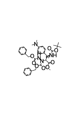 COC(=O)C([C@H](NC(=O)OC(C)(C)C)c1ccc(N(C)C)cc1)N(NC(=O)OCc1ccccc1)C(=O)OCc1ccccc1